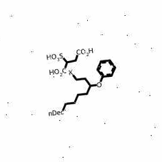 CCCCCCCCCCCCCCC(C[CH2][K])Oc1ccccc1.O=C(O)CC(C(=O)O)S(=O)(=O)O